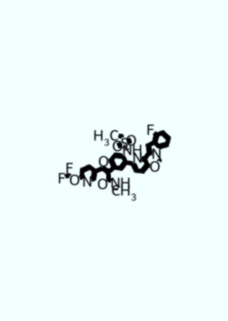 CCS(=O)(=O)Nc1cc2oc(-c3ccc(OC(F)F)nc3)c(C(=O)NC)c2cc1-c1ccc2c(n1)-c1cc3c(F)cccc3n1CO2